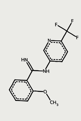 COc1ccccc1C(=N)Nc1ccc(C(F)(F)F)nc1